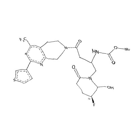 CC(C)(C)OC(=O)NC(CC(=O)N1CCc2c(nc(-c3ccsc3)nc2C(F)(F)F)C1)CN1C(=O)CC[C@H](F)C1O